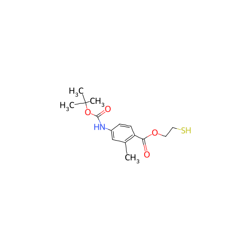 Cc1cc(NC(=O)OC(C)(C)C)ccc1C(=O)OCCS